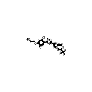 OCCOc1cc(Cl)c(-c2noc(-c3cn4cc(C(F)(F)F)ncc4n3)n2)cc1Cl